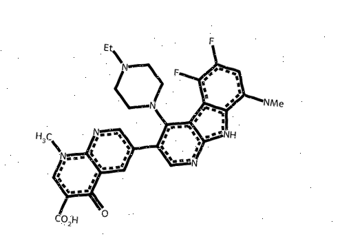 CCN1CCN(c2c(-c3cnc4c(c3)c(=O)c(C(=O)O)cn4C)cnc3[nH]c4c(NC)cc(F)c(F)c4c23)CC1